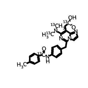 Cc1ccc([13C](=O)Nc2ccc(Cc3nc(N([13CH3])[13CH3])c(C[13C](=O)O)c4nccn34)cc2)cc1